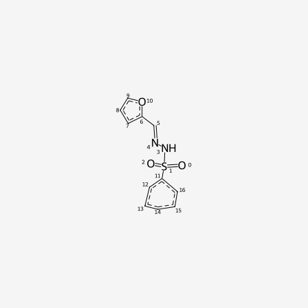 O=S(=O)(NN=Cc1ccco1)c1ccccc1